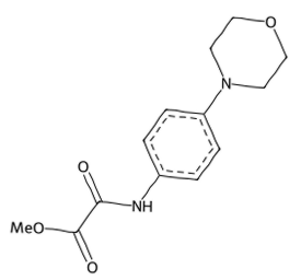 COC(=O)C(=O)Nc1ccc(N2CCOCC2)cc1